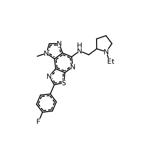 CCN1CCCC1CNc1nc2sc(-c3ccc(F)cc3)nc2c2c1ncn2C